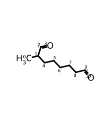 CC([C]=O)CCCCC[C]=O